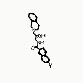 COc1ccc2cc(C(=O)NC[C@H](O)CN3CCc4ccccc4C3)ccc2c1